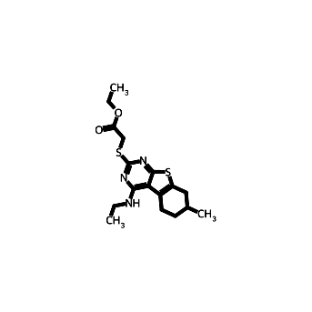 CCNc1nc(SCC(=O)OCC)nc2sc3c(c12)CCC(C)C3